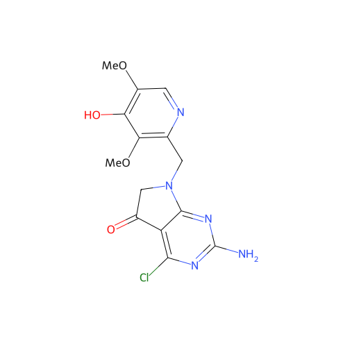 COc1cnc(CN2CC(=O)c3c(Cl)nc(N)nc32)c(OC)c1O